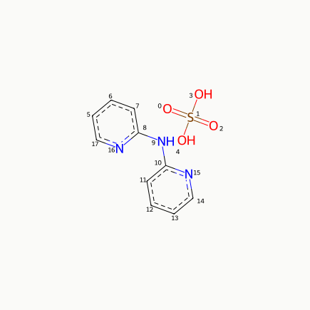 O=S(=O)(O)O.c1ccc(Nc2ccccn2)nc1